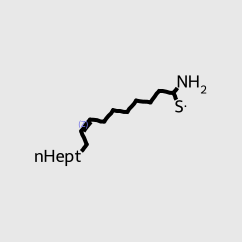 CCCCCCCC/C=C\CCCCCCC(N)[S]